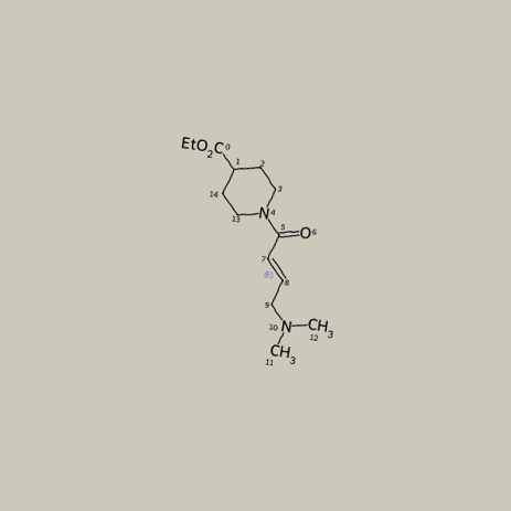 CCOC(=O)C1CCN(C(=O)/C=C/CN(C)C)CC1